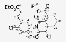 CCOC(=O)CSc1cc(N(C(=O)CCl)C(=O)C2=C(C(=O)OC(C)C)CCCC2)c(F)cc1Cl